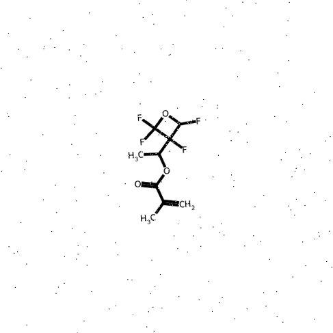 C=C(C)C(=O)OC(C)C1(F)C(F)OC1(F)F